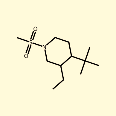 CCC1CN(S(C)(=O)=O)CCC1C(C)(C)C